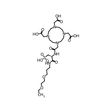 CCOCCOCCCNC(=O)[C@@H](CS(=O)(=O)O)NC(=O)CN1CCN(CC(=O)O)CCN(CC(=O)O)CCN(CC(=O)O)CC1